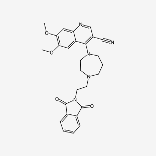 COc1cc2ncc(C#N)c(N3CCCN(CCN4C(=O)c5ccccc5C4=O)CC3)c2cc1OC